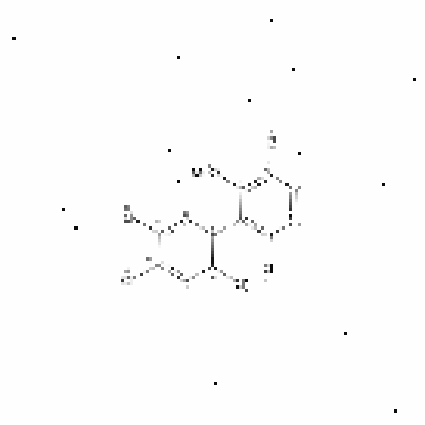 COc1c(Cl)ccc(Cl)c1-c1cc(Cl)c(Cl)cc1Cl